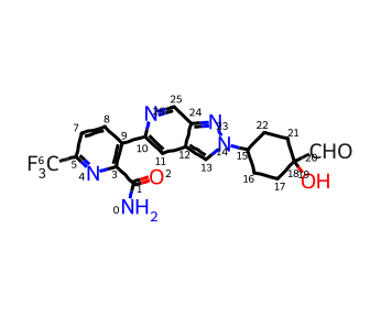 NC(=O)c1nc(C(F)(F)F)ccc1-c1cc2cn(C3CCC(O)(C=O)CC3)nc2cn1